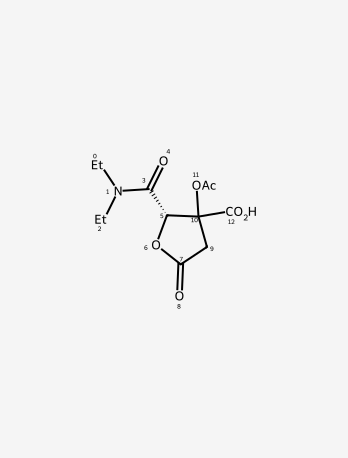 CCN(CC)C(=O)[C@H]1OC(=O)CC1(OC(C)=O)C(=O)O